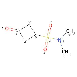 CN(C)S(=O)(=O)C1CC(=O)C1